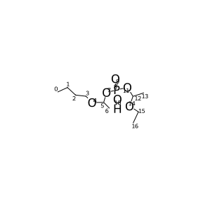 CCCCOC(C)OP(=O)(O)OC(C)OCC